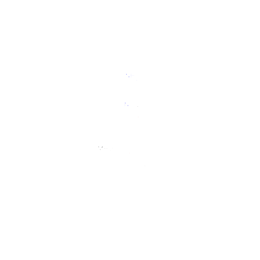 COc1cc(CN(CCN)C(=O)c2ccccc2)ccc1OCc1ccccc1